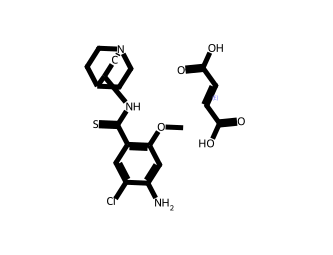 COc1cc(N)c(Cl)cc1C(=S)NC1CN2CCC1CC2.O=C(O)/C=C/C(=O)O